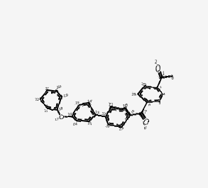 CC(=O)c1ccc(C(=O)c2ccc(-c3ccc(Oc4ccccc4)cc3)cc2)cc1